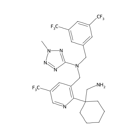 Cn1nnc(N(Cc2cc(C(F)(F)F)cc(C(F)(F)F)c2)Cc2cc(C(F)(F)F)cnc2C2(CN)CCCCC2)n1